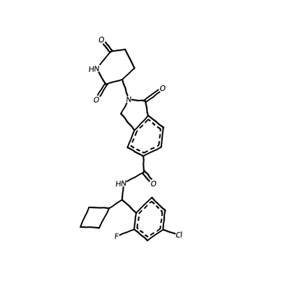 O=C1CCC(N2Cc3cc(C(=O)NC(c4ccc(Cl)cc4F)C4CCC4)ccc3C2=O)C(=O)N1